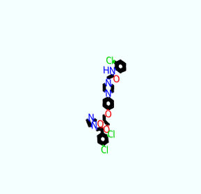 O=C(CN1CCN(c2ccc(OCC3COC(Cn4ccnc4)(c4ccc(Cl)cc4Cl)O3)cc2)CC1)Nc1ccccc1Cl